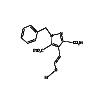 CCOC=Cc1c(C(=O)OCC)nn(Cc2ccccc2)c1C(=O)OCC